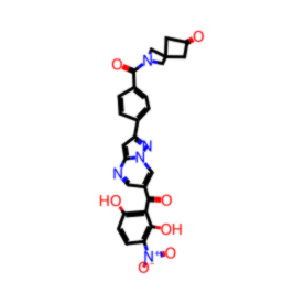 O=C1CC2(C1)CN(C(=O)c1ccc(-c3cc4ncc(C(=O)c5c(O)ccc([N+](=O)[O-])c5O)cn4n3)cc1)C2